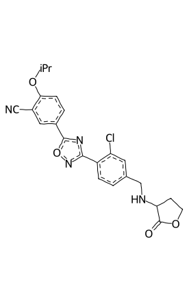 CC(C)Oc1ccc(-c2nc(-c3ccc(CNC4CCOC4=O)cc3Cl)no2)cc1C#N